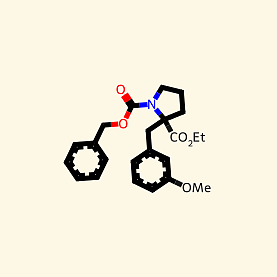 CCOC(=O)C1(Cc2cccc(OC)c2)CCCN1C(=O)OCc1ccccc1